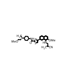 C=C(C#N)CNc1c(OC)ccc2ccc(-c3csc(C(=O)NC4CCC(N(C)CCOC)CC4)n3)cc12